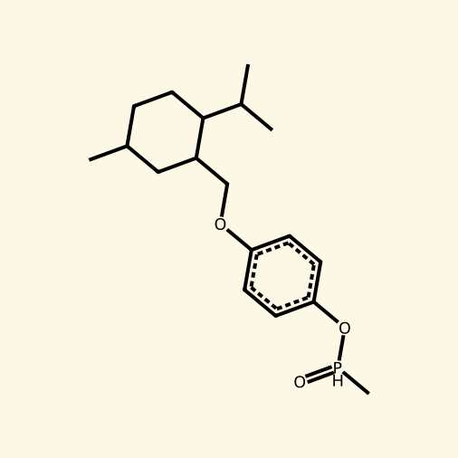 CC1CCC(C(C)C)C(COc2ccc(O[PH](C)=O)cc2)C1